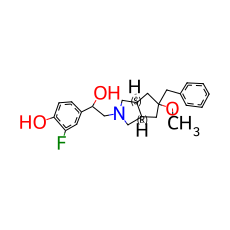 COC1(Cc2ccccc2)C[C@H]2CN(CC(O)c3ccc(O)c(F)c3)C[C@H]2C1